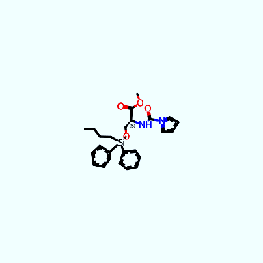 CCCC[Si](OC[C@H](NC(=O)n1cccc1)C(=O)OC)(c1ccccc1)c1ccccc1